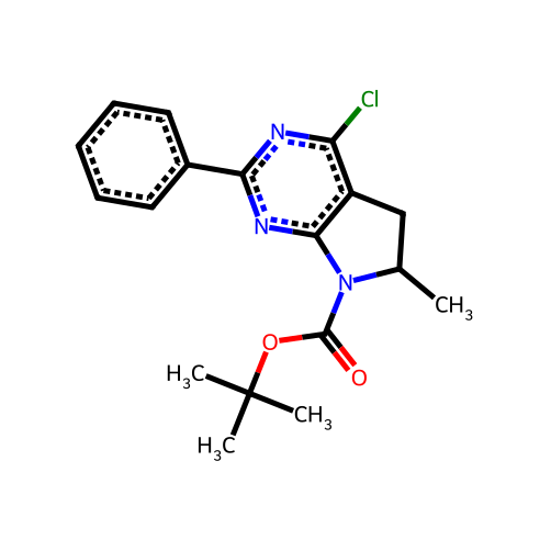 CC1Cc2c(Cl)nc(-c3ccccc3)nc2N1C(=O)OC(C)(C)C